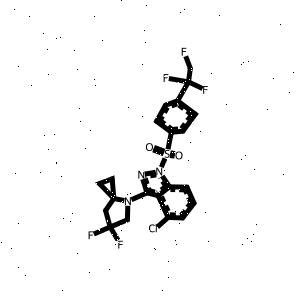 O=S(=O)(c1ccc(C(F)(F)CF)cc1)n1nc(N2CC(F)(F)CC23CC3)c2c(Cl)cccc21